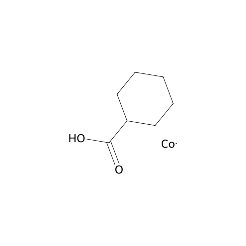 O=C(O)C1CCCCC1.[Co]